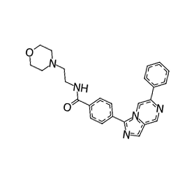 O=C(NCCN1CCOCC1)c1ccc(-c2ncc3cnc(-c4ccccc4)cn23)cc1